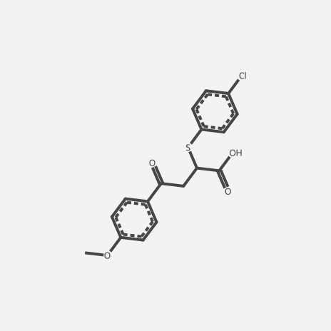 COc1ccc(C(=O)CC(Sc2ccc(Cl)cc2)C(=O)O)cc1